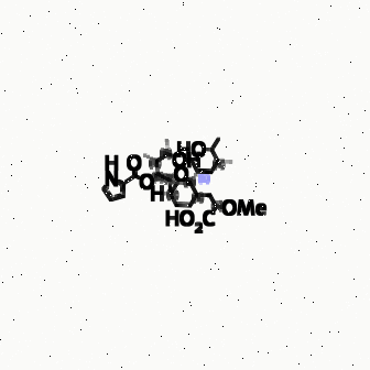 CO[C@@H](C[C@H]1C=C[C@@H]2C[C@@]1(/C(C)=C/[C@@H](C)C(C)O)O[C@H]2[C@H](OC(=O)c1ccc[nH]1)[C@H](C)[C@H](C)O)C(=O)O